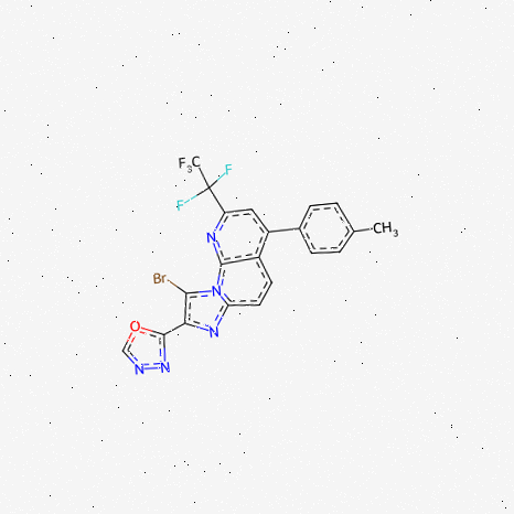 Cc1ccc(-c2cc(C(F)(F)C(F)(F)F)nc3c2ccc2nc(-c4nnco4)c(Br)n23)cc1